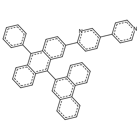 c1ccc(-c2c3ccccc3c(-c3cc4ccccc4c4ccccc34)c3cc(-c4ccc(-c5ccncc5)cn4)ccc23)cc1